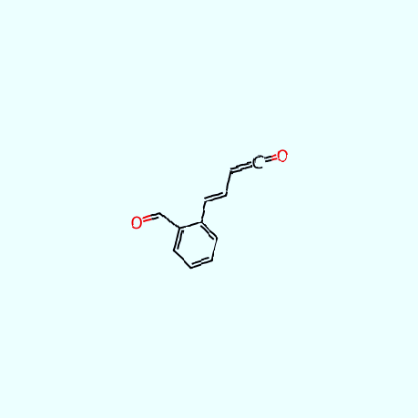 O=C=C/C=C/c1ccccc1C=O